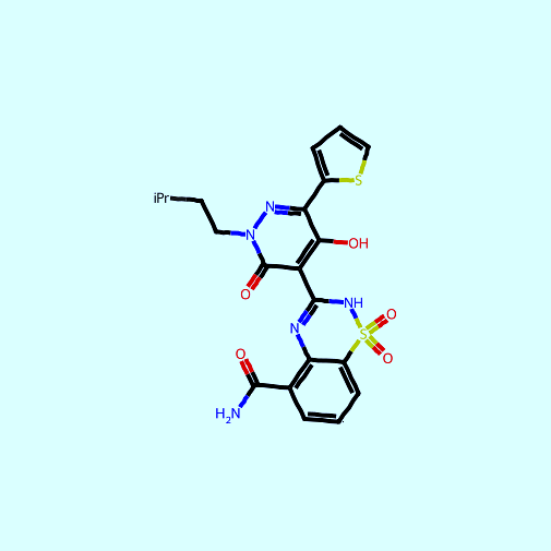 CC(C)CCn1nc(-c2cccs2)c(O)c(C2=Nc3c(C(N)=O)c[c]cc3S(=O)(=O)N2)c1=O